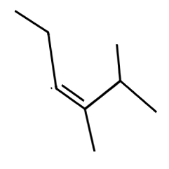 CC[C]=C(C)C(C)C